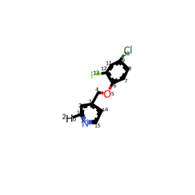 [2H]c1cc(COc2ccc(Cl)cc2F)ccn1